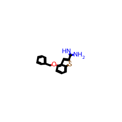 N=C(N)c1cc2c(OCc3ccccc3)cccc2s1